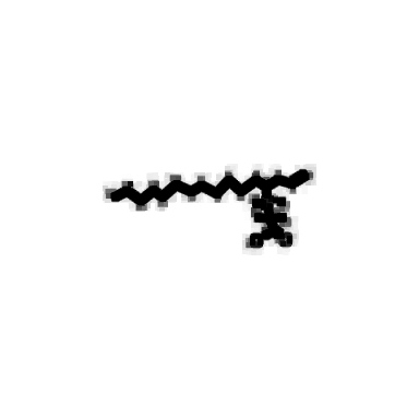 C=CCC(CCCCCCCCCCCC)[N+](C)(C)C(C)(C)C(=O)[O-]